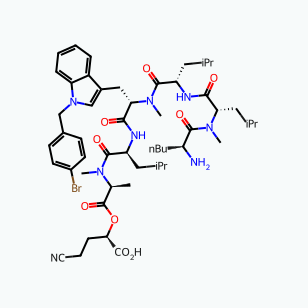 CCCC[C@H](N)C(=O)N(C)[C@@H](CC(C)C)C(=O)N[C@@H](CC(C)C)C(=O)N(C)[C@@H](Cc1cn(Cc2ccc(Br)cc2)c2ccccc12)C(=O)N[C@@H](CC(C)C)C(=O)N(C)[C@@H](C)C(=O)O[C@H](CCC#N)C(=O)O